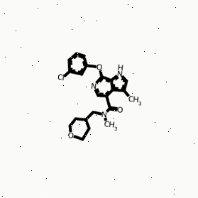 Cc1c[nH]c2c(Oc3cccc(Cl)c3)ncc(C(=O)N(C)CC3CCOCC3)c12